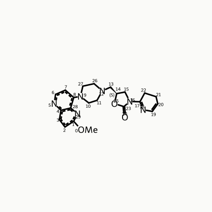 COc1ccc2nccc(N3CCN(C[C@H]4CN(C5=NC=CCC5)C(=O)O4)CC3)c2n1